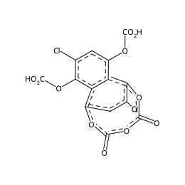 O=C(O)Oc1c(Cl)cc(OC(=O)O)c2c3oc(=O)oc(=O)oc(cc3Cl)c12